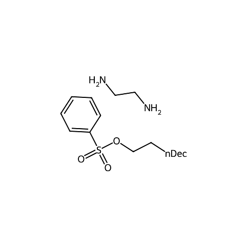 CCCCCCCCCCCCOS(=O)(=O)c1ccccc1.NCCN